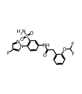 NS(=O)(=O)c1cc(NC(=O)Cc2ccccc2OC(F)F)ccc1-n1cc(F)cn1